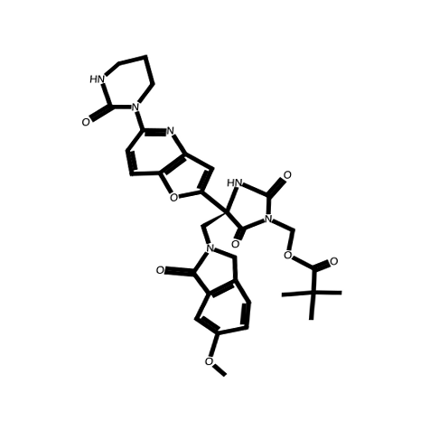 COc1ccc2c(c1)C(=O)N(C[C@@]1(c3cc4nc(N5CCCNC5=O)ccc4o3)NC(=O)N(COC(=O)C(C)(C)C)C1=O)C2